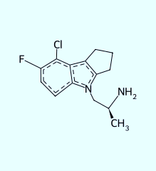 C[C@H](N)Cn1c2c(c3c(Cl)c(F)ccc31)CCC2